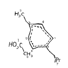 CC(=O)O.Cc1ccc(C(C)C)cc1